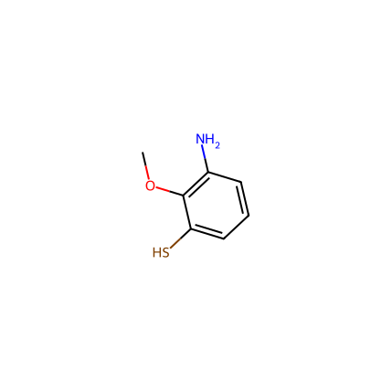 COc1c(N)cccc1S